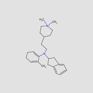 CC1=CCCC=C1N(CCC1CC[N+](C)(C)CC1)C1Cc2ccccc2C1